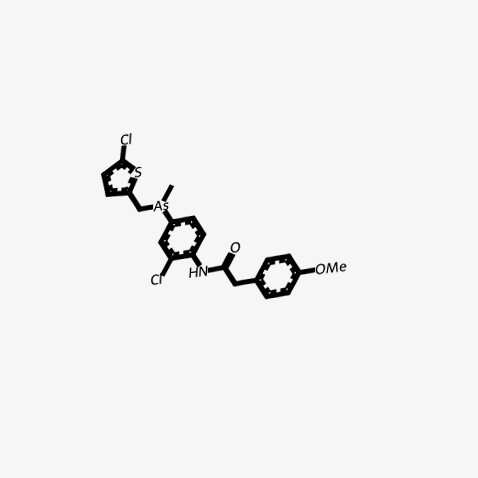 COc1ccc(CC(=O)Nc2ccc([As](C)Cc3ccc(Cl)s3)cc2Cl)cc1